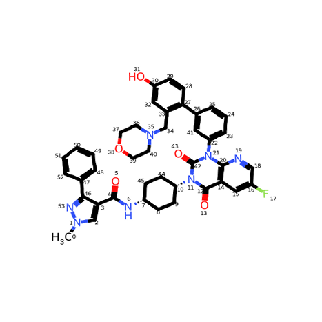 Cn1cc(C(=O)N[C@H]2CC[C@@H](n3c(=O)c4cc(F)cnc4n(-c4cccc(-c5ccc(O)cc5CN5CCOCC5)c4)c3=O)CC2)c(-c2ccccc2)n1